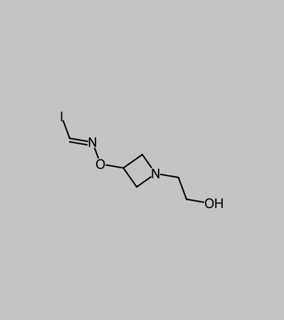 OCCN1CC(O/N=C/I)C1